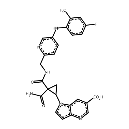 NC(=O)C1(C(=O)NCc2ccc(Nc3ccc(F)cc3C(F)(F)F)cn2)CC1n1ccc2ncc(C(=O)O)cc21